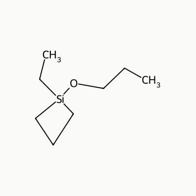 CCCO[Si]1(CC)CCC1